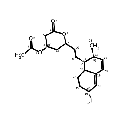 CC(=O)O[C@H]1CC(=O)OC(CC[C@@H]2C3CC[C@@H](I)C=C3C=C[C@@H]2C)C1